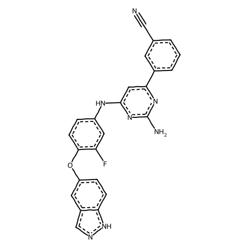 N#Cc1cccc(-c2cc(Nc3ccc(Oc4ccc5[nH]ncc5c4)c(F)c3)nc(N)n2)c1